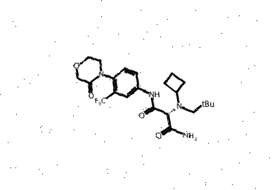 CC(C)(C)CN(C1CCC1)[C@H](C(N)=O)C(=O)Nc1ccc(N2CCOCC2=O)c(C(F)(F)F)c1